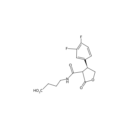 O=C(O)CCCNC(=O)C1C(=O)OC[C@@H]1c1ccc(F)c(F)c1